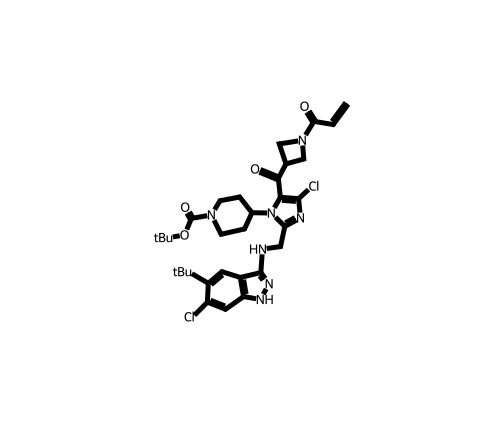 C=CC(=O)N1CC(C(=O)c2c(Cl)nc(CNc3n[nH]c4cc(Cl)c(C(C)(C)C)cc34)n2C2CCN(C(=O)OC(C)(C)C)CC2)C1